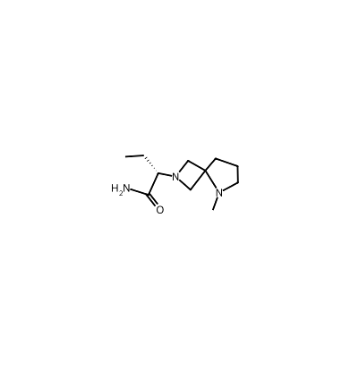 CC[C@@H](C(N)=O)N1CC2(CCCN2C)C1